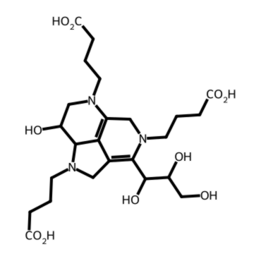 O=C(O)CCCN1CC(O)C2C3=C1CN(CCCC(=O)O)C(C(O)C(O)CO)=C3CN2CCCC(=O)O